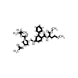 COC(=O)C(CCSC)NC(=O)c1ccc(NC[C@@H]2C[C@H](SC(C)=O)CN2C(=O)OC(C)(C)C)cc1-c1ccccc1